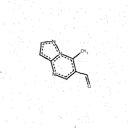 Cc1c(C=O)cnc2ccnn12